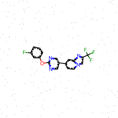 Fc1cccc(Oc2ncc(-c3ccn4cc(C(F)(F)F)nc4c3)cn2)c1